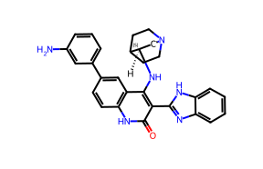 Nc1cccc(-c2ccc3[nH]c(=O)c(-c4nc5ccccc5[nH]4)c(N[C@@H]4CN5CCC4CC5)c3c2)c1